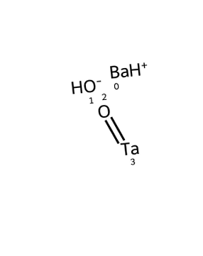 [BaH+].[OH-].[O]=[Ta]